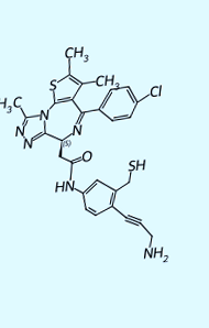 Cc1sc2c(c1C)C(c1ccc(Cl)cc1)=N[C@@H](CC(=O)Nc1ccc(C#CCN)c(CS)c1)c1nnc(C)n1-2